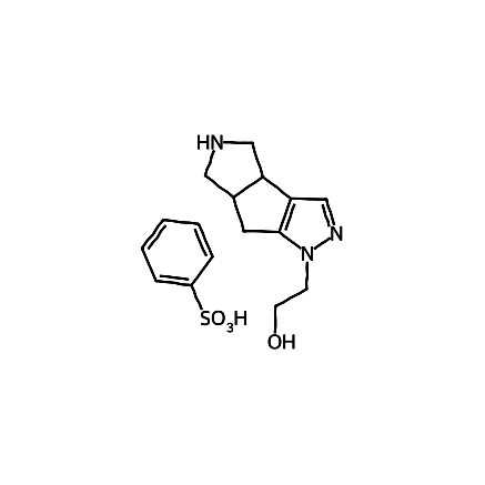 O=S(=O)(O)c1ccccc1.OCCn1ncc2c1CC1CNCC21